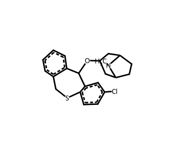 CN1C2CCC1CC(OC1c3ccccc3CSc3ccc(Cl)cc31)C2